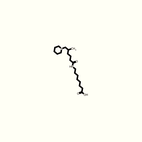 CC(CCCC(=O)NCCCCCCCC(=O)O)CN1CCCCC1